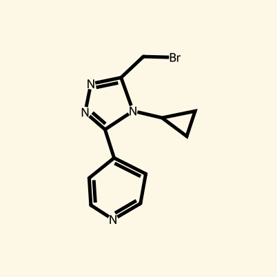 BrCc1nnc(-c2ccncc2)n1C1CC1